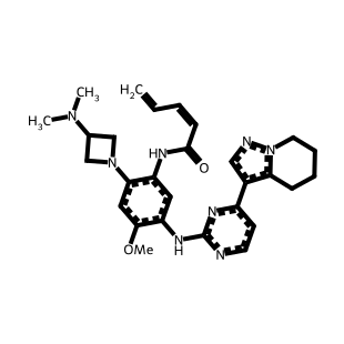 C=C/C=C\C(=O)Nc1cc(Nc2nccc(-c3cnn4c3CCCC4)n2)c(OC)cc1N1CC(N(C)C)C1